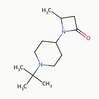 CC1CC(=O)N1C1CCN(C(C)(C)C)CC1